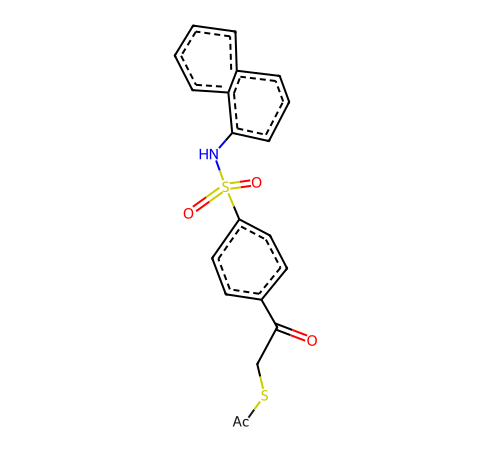 CC(=O)SCC(=O)c1ccc(S(=O)(=O)Nc2cccc3ccccc23)cc1